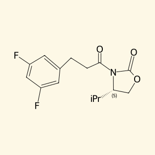 CC(C)[C@H]1COC(=O)N1C(=O)CCc1cc(F)cc(F)c1